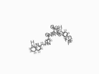 O=C(NCC(NS(=O)(=O)Cc1ccc(OC(F)(F)F)cc1)C(=O)O)c1cnn(CCc2ccc3c(n2)NCCC3)c1